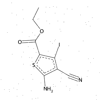 CCOC(=O)c1sc(N)c(C#N)c1I